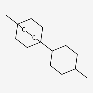 CC1CCC(C23CCC(C)(CC2)CC3)CC1